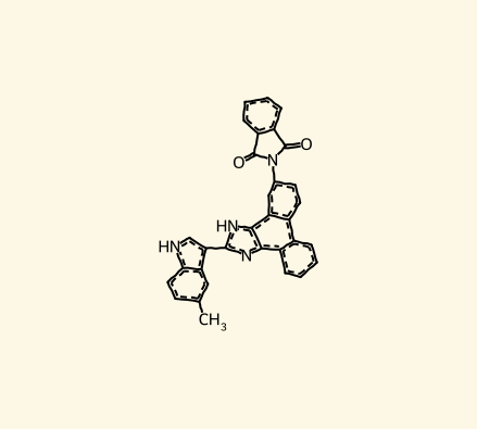 Cc1ccc2[nH]cc(-c3nc4c5ccccc5c5ccc(N6C(=O)c7ccccc7C6=O)cc5c4[nH]3)c2c1